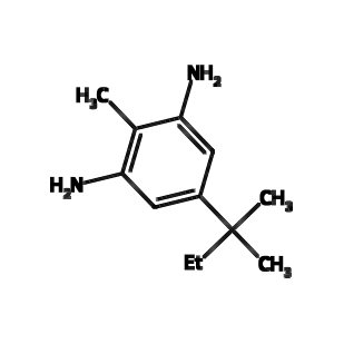 CCC(C)(C)c1cc(N)c(C)c(N)c1